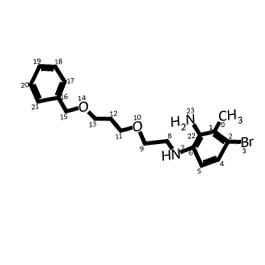 Cc1c(Br)ccc(NCCOCCCOCc2ccccc2)c1N